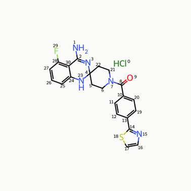 Cl.NC1=NC2(CCN(C(=O)c3ccc(-c4nccs4)cc3)CC2)Nc2cccc(F)c21